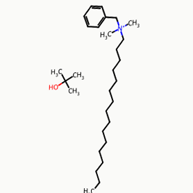 CC(C)(C)O.CCCCCCCCCCCCCCCC[N+](C)(C)Cc1ccccc1